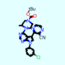 CC1CN(C(=O)OC(C)(C)C)CCN1c1ncnc2c1c(-c1nccnc1C#N)cn2-c1cccc(Cl)c1